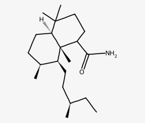 CC[C@@H](C)CC[C@H]1[C@@H](C)CC[C@H]2C(C)(C)CCC(C(N)=O)[C@]12C